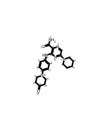 NC(=O)c1ncc(N2CCCCC2)nc1Nc1ccc(N2CCC(=O)CC2)cc1